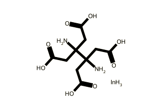 NC(CC(=O)O)(CC(=O)O)C(N)(CC(=O)O)CC(=O)O.[InH3]